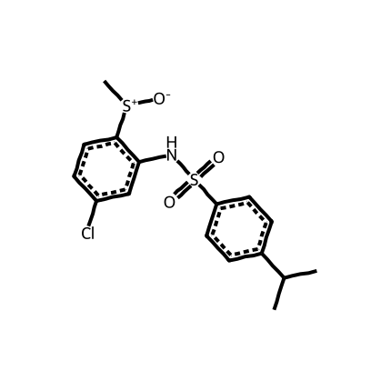 CC(C)c1ccc(S(=O)(=O)Nc2cc(Cl)ccc2[S+](C)[O-])cc1